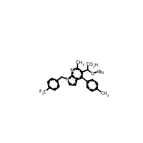 Cc1ccc(-c2c(C(OC(C)(C)C)C(=O)O)c(C)nc3c2ccn3Cc2ccc(C(F)(F)F)cc2)cc1